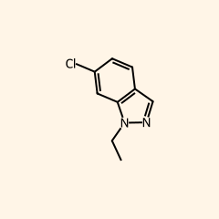 CCn1ncc2ccc(Cl)cc21